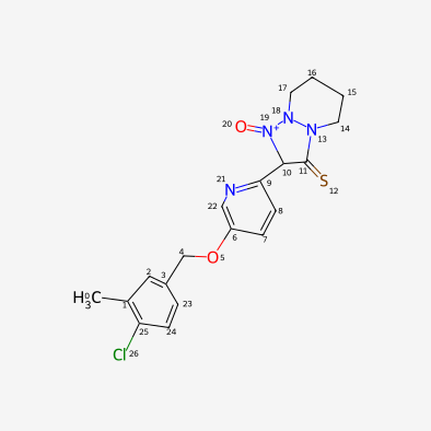 Cc1cc(COc2ccc(C3C(=S)N4CCCCN4[N+]3=O)nc2)ccc1Cl